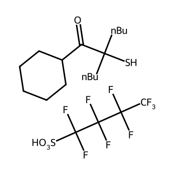 CCCCC(S)(CCCC)C(=O)C1CCCCC1.O=S(=O)(O)C(F)(F)C(F)(F)C(F)(F)C(F)(F)F